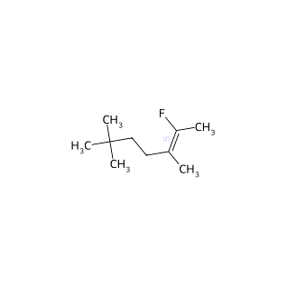 C/C(F)=C(\C)CCC(C)(C)C